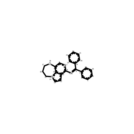 c1ccc(C(=Nc2ncc3c4c2ccn4CCCO3)c2ccccc2)cc1